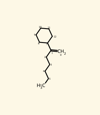 C=C(CCCCC)C1CCCCC1